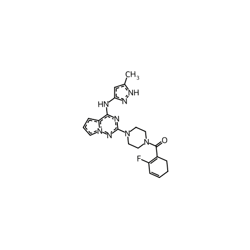 Cc1cc(Nc2nc(N3CCN(C(=O)C4=C(F)C=CCC4)CC3)nn3cccc23)n[nH]1